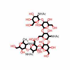 CC(=O)NC1[C@H](O[C@@H]2C(O)[C@H](O[C@@H]3C(CO)O[C@@H](O[C@@H]4C(O)[C@@](O)(O[C@@H]5C(CO)O[C@@H](O[C@@H]6C(NC(C)=O)C(C)OC(CO)[C@@H]6O)C(NC(C)=O)[C@H]5O)OC(CO)[C@@H]4O)C(NC(C)=O)[C@H]3O)OC(CO)[C@@H]2O)OC(CO)[C@@H](O)[C@@H]1O